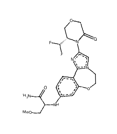 COCC(Nc1ccc2c(c1)OCCn1cc(N3C(=O)COC[C@H]3C(F)F)nc1-2)C(N)=O